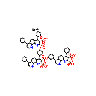 O=S(=O)([O-])c1nc2c(ccc3c(-c4ccccc4)ccnc32)c(-c2ccccc2)c1S(=O)(=O)[O-].O=S(=O)([O-])c1nc2c(ccc3c(-c4ccccc4)ccnc32)c(-c2ccccc2)c1S(=O)(=O)[O-].O=S(=O)([O-])c1nc2c(ccc3c(-c4ccccc4)ccnc32)c(-c2ccccc2)c1S(=O)(=O)[O-].[Ru+4]